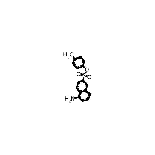 Cc1ccc(OS(=O)(=O)c2ccc3c(N)cccc3c2)cc1